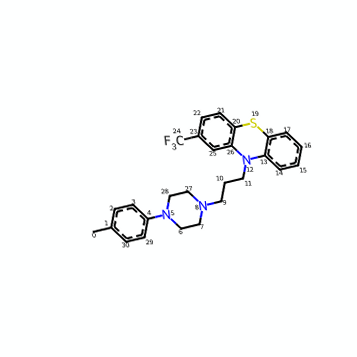 Cc1ccc(N2CCN(CCCN3c4ccccc4Sc4ccc(C(F)(F)F)cc43)CC2)cc1